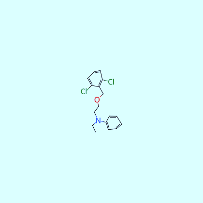 CCN(CCOCc1c(Cl)cccc1Cl)c1ccccc1